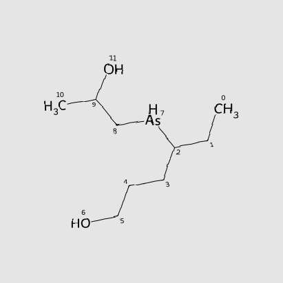 CCC(CCCO)[AsH]CC(C)O